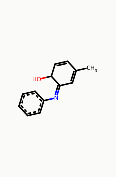 CC1=CC(=Nc2ccccc2)C(O)C=C1